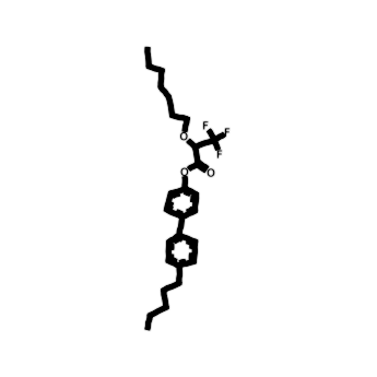 CCCCCCCOC(C(=O)Oc1ccc(-c2ccc(CCCCC)cc2)cc1)C(F)(F)F